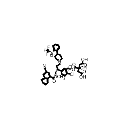 CN(C[C@@H](CCN1CCC(c2ccccc2[S+]([O-])C(F)(F)F)CC1)c1ccc(Cl)c(Cl)c1)C(=O)c1cc(C#N)cc2ccccc12.O=C(O)CC(O)(CC(=O)O)C(=O)O